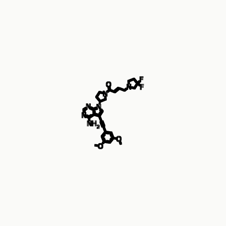 COc1cc(C#Cc2cn([C@H]3CCN(C(=O)C=CCN4CCC(F)(F)C4)C3)c3ncnc(N)c23)cc(OC)c1